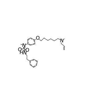 C=CCN(C)CCCCCCOc1ccc(N(C)S(=O)(=O)NCCc2ccccc2)cc1